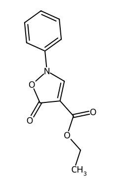 CCOC(=O)c1cn(-c2ccccc2)oc1=O